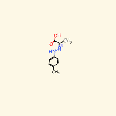 C/C(=N/Nc1ccc(C)cc1)C(=O)O